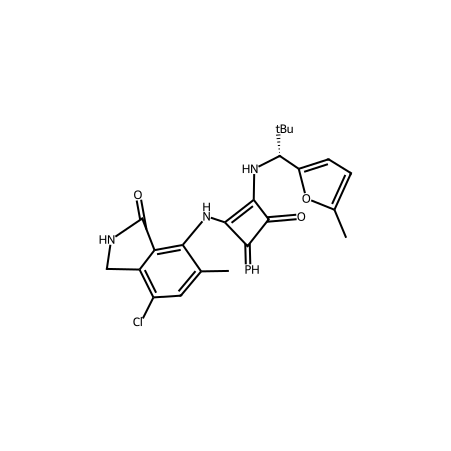 Cc1ccc([C@H](Nc2c(Nc3c(C)cc(Cl)c4c3C(=O)NC4)c(=P)c2=O)C(C)(C)C)o1